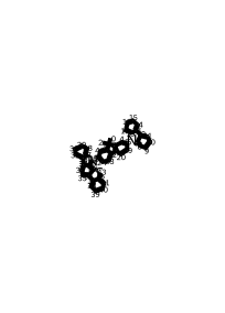 CC1(C)c2cc(-n3c4ccccc4c4ccccc43)ccc2-c2ccc(-n3c4ccccc4c4ccc5c6ccccc6sc5c43)cc21